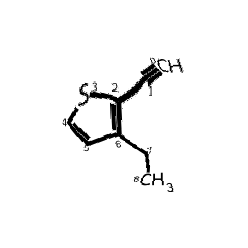 C#Cc1sccc1CC